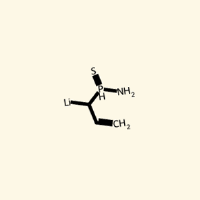 [Li][CH](C=C)[PH](N)=S